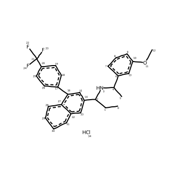 CCC(NC(C)c1cccc(OC)c1)c1cc(-c2ccc(C(F)(F)F)cc2)c2ccccc2c1.Cl